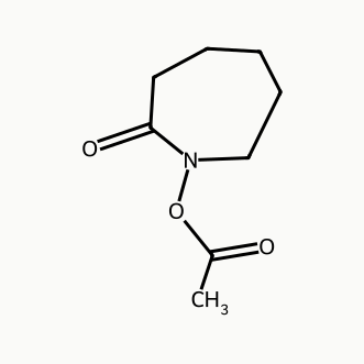 CC(=O)ON1CCCCCC1=O